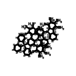 Bc1c(B)c(B)c(-c2cc(S(c3ccccc3)(c3ccccc3)c3ccccc3)cc(-c3c(B)c(B)c(B)c(B)c3B)c2-n2c3ccccc3c3c(-n4c5ccccc5c5c(B)c(B)c(B)c(B)c54)cccc32)c(B)c1B